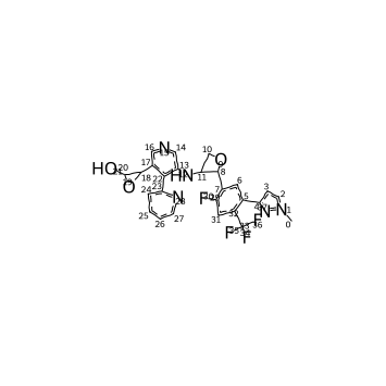 Cn1ccc(-c2cc(C3OCC3Nc3cncc(C4OC4O)c3-c3ccccn3)c(F)cc2C(F)(F)F)n1